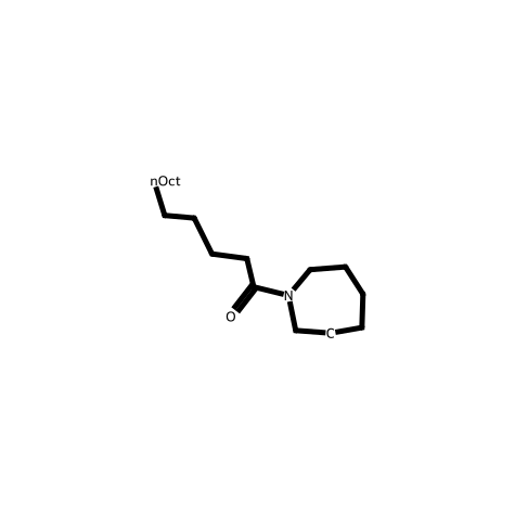 CCCCCCCCCCCCC(=O)N1CCCCCC1